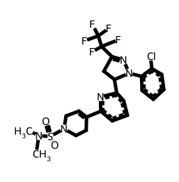 CN(C)S(=O)(=O)N1CC=C(c2cccc(C3CC(C(F)(F)C(F)(F)F)=NN3c3ccccc3Cl)n2)CC1